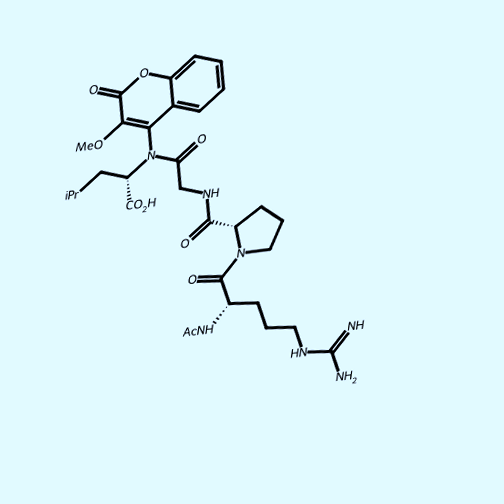 COc1c(N(C(=O)CNC(=O)[C@@H]2CCCN2C(=O)[C@H](CCCNC(=N)N)NC(C)=O)[C@@H](CC(C)C)C(=O)O)c2ccccc2oc1=O